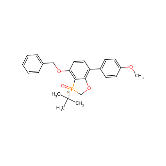 COc1ccc(-c2ccc(OCc3ccccc3)c3c2OC[P@]3(=O)C(C)(C)C)cc1